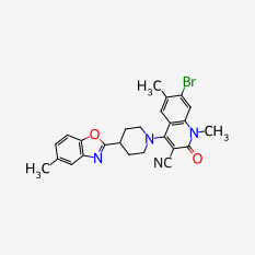 Cc1ccc2oc(C3CCN(c4c(C#N)c(=O)n(C)c5cc(Br)c(C)cc45)CC3)nc2c1